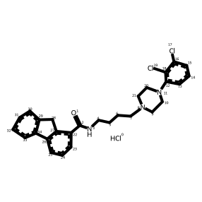 Cl.O=C(NCCCCN1CCN(c2cccc(Cl)c2Cl)CC1)c1cccc2c1Cc1ccccc1-2